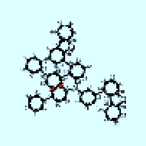 c1ccc(-c2ccc(N(c3cccc(-c4cccc5oc6ccccc6c45)c3)c3cccc(-c4cccc5c4oc4ccccc45)c3-c3cccc(-c4ccccc4)c3)cc2)cc1